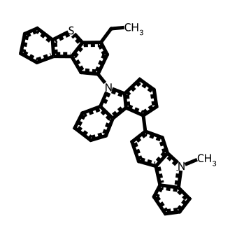 CCc1cc(-n2c3ccccc3c3c(-c4ccc5c6ccccc6n(C)c5c4)cccc32)cc2c1sc1ccccc12